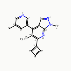 CCn1ncc2c(-c3cncc(C)c3)c(C=O)c(C3=CC=C3)nc21